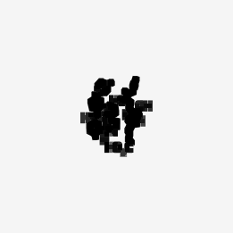 CC#CCC(C)[C@H](O)/C=C/C1[C@H](O)C[C@@H]2C/C(=C\CCCC(=O)O)C[C@H]12.Cc1ccc(NC(=O)c2ccc(CN3CCN(C)CC3)cc2)cc1Nc1nccc(-c2cccnc2)n1